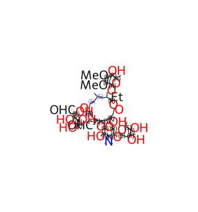 CC[C@H]1OC(=O)C[C@@H](O)[C@H](C)[C@@H](O[C@@H]2O[C@H](C)[C@@H](O[C@H]3C[C@@](C)(O)[C@@H](O)[C@H](C)O3)[C@H](N(C)C)[C@H]2O)[C@@H](CC=O)C[C@@H](C)C(=O)/C=C/C(C)=C/C1CO[C@@H]1O[C@H](C)[C@@H](O)[C@@H](OC)[C@H]1OC.C[C@@H](O)[C@@H](O)[C@@H](O)[C@@H](O)C=O